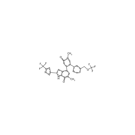 Cn1cc(-c2cccc(COC(F)(F)F)c2)c(-c2cn(C)c(=O)c3[nH]c(-c4cnn(C(F)(F)F)c4)cc23)cc1=O